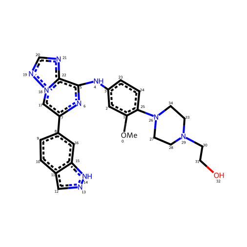 COc1cc(Nc2nc(-c3ccc4cn[nH]c4c3)cn3ncnc23)ccc1N1CCN(CCO)CC1